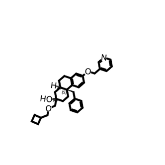 O[C@]1(COCC2CCC2)CC[C@@]2(Cc3ccccc3)c3ccc(OCc4cccnc4)cc3CC[C@@H]2C1